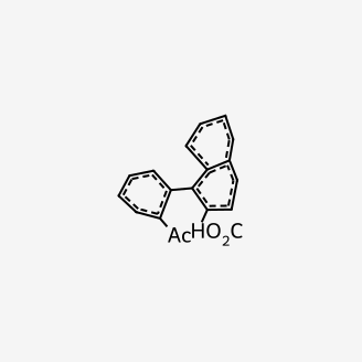 CC(=O)c1ccccc1-c1c(C(=O)O)ccc2ccccc12